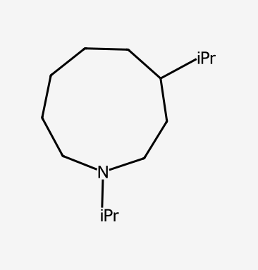 CC(C)C1CCCCCN(C(C)C)CC1